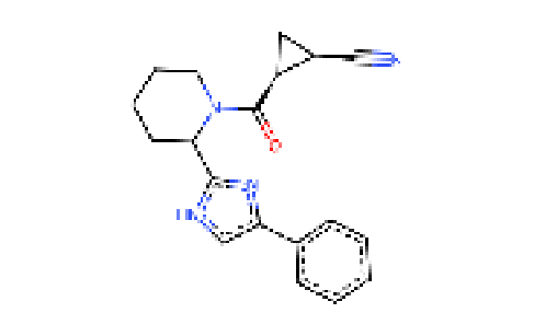 N#C[C@@H]1C[C@@H]1C(=O)N1CCCCC1c1nc(-c2ccccc2)c[nH]1